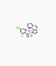 O=S(=O)(Nc1ncc(Cl)cc1F)n1ccc2ccc3cccnc3c21